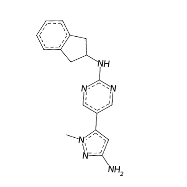 Cn1nc(N)cc1-c1cnc(NC2Cc3ccccc3C2)nc1